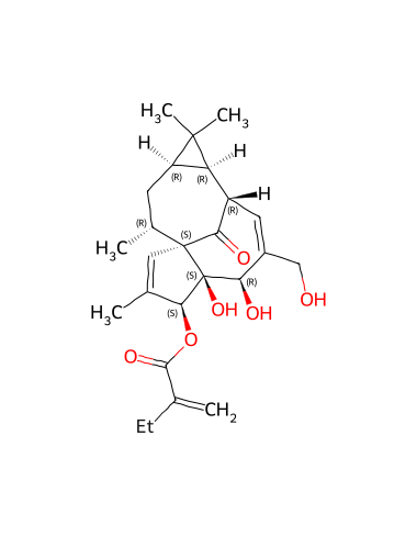 C=C(CC)C(=O)O[C@H]1C(C)=C[C@]23C(=O)[C@@H](C=C(CO)[C@@H](O)[C@]12O)[C@H]1[C@@H](C[C@H]3C)C1(C)C